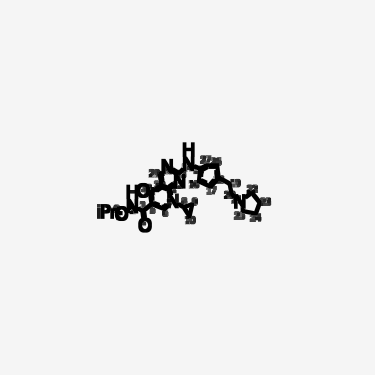 CC(C)ONC(=O)c1cn(C2CC2)c2nc(Nc3ccc(CCN4CCCC4)cc3)ncc2c1=O